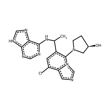 CC(Nc1ncnc2[nH]cnc12)c1cc(Cl)c2cncn2c1N1CC[C@@H](O)C1